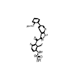 CCCS(=O)(=O)Nc1ccc(F)c(C(=O)c2n[nH]c3ncc(-c4ccccc4OC)cc23)c1F